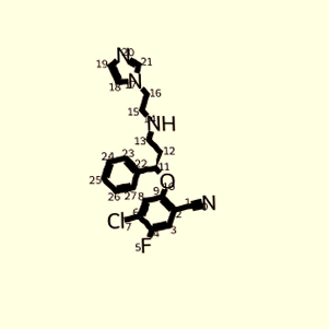 N#Cc1cc(F)c(Cl)cc1O[C@H](CCNCCn1ccnc1)c1ccccc1